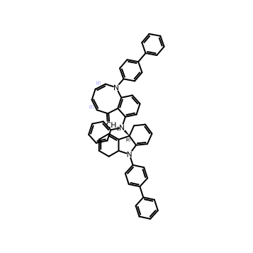 C=C1/C=C\C=C/N(c2ccc(-c3ccccc3)cc2)c2cccc(N(c3ccccc3)[C@@]34CC=CC=C3N(c3ccc(-c5ccccc5)cc3)C3CC=CC=C34)c21